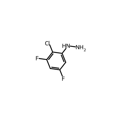 NNc1cc(F)cc(F)c1Cl